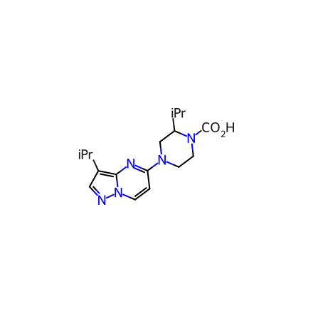 CC(C)c1cnn2ccc(N3CCN(C(=O)O)C(C(C)C)C3)nc12